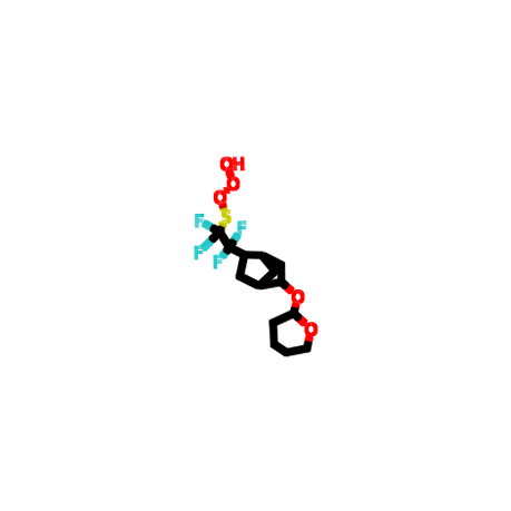 OOOSC(F)(F)C(F)(F)C1CC2CC1CC2OC1CCCCO1